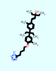 CCC(O)(C=Cc1ccc(C(CC)(CC)c2ccc(OCCCCc3nnn[nH]3)c(C)c2)cc1C)CC